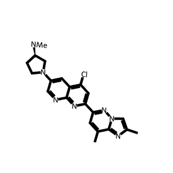 CN[C@@H]1CCN(c2cnc3nc(-c4cc(C)c5nc(C)cn5n4)cc(Cl)c3c2)C1